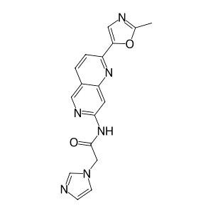 Cc1ncc(-c2ccc3cnc(NC(=O)Cn4ccnc4)cc3n2)o1